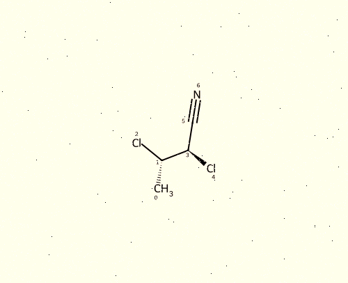 C[C@H](Cl)[C@H](Cl)C#N